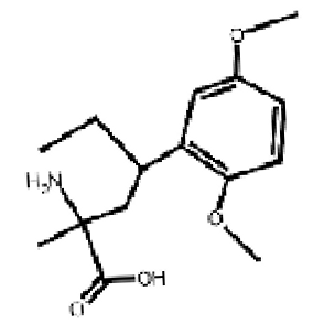 CCC(CC(C)(N)C(=O)O)c1cc(OC)ccc1OC